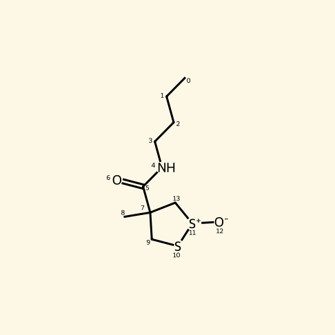 CCCCNC(=O)C1(C)CS[S+]([O-])C1